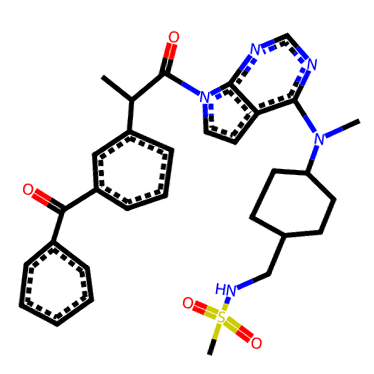 CC(C(=O)n1ccc2c(N(C)C3CCC(CNS(C)(=O)=O)CC3)ncnc21)c1cccc(C(=O)c2ccccc2)c1